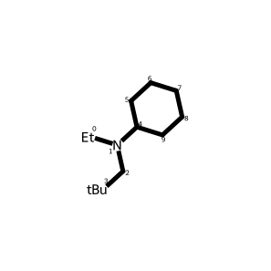 CCN(CC(C)(C)C)C1CCCCC1